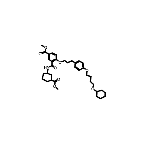 COC(=O)c1ccc(OCCCc2ccc(OCCCCOC3CCCCC3)cc2)c(C(=O)NC2CCCC(C(=O)OC)C2)c1